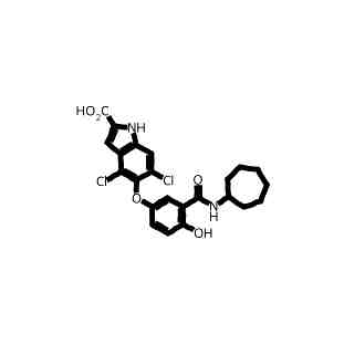 O=C(O)c1cc2c(Cl)c(Oc3ccc(O)c(C(=O)NC4CCCCCC4)c3)c(Cl)cc2[nH]1